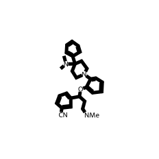 CNCCC(Oc1ccccc1N1CCC(c2ccccc2)(N(C)C)CC1)c1cccc(C#N)c1